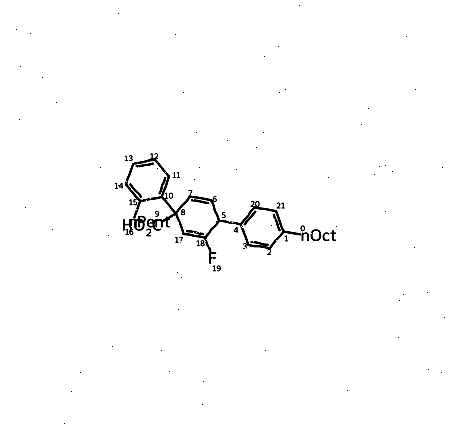 CCCCCCCCc1ccc(C2C=CC(C(=O)O)(c3ccccc3CCCCC)C=C2F)cc1